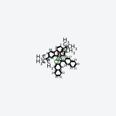 CC(C)(C)c1ccc2c(c1)[CH]([Zr]([Cl])([Cl])(=[C](c1ccc3ccccc3c1)c1ccc3ccccc3c1)[CH]1C=CC=C1)c1cc(C(C)(C)C)ccc1-2